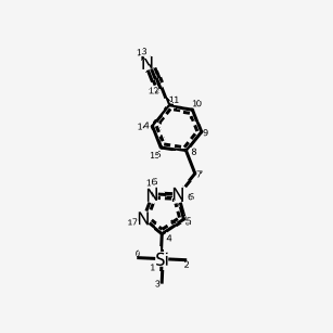 C[Si](C)(C)c1cn(Cc2ccc(C#N)cc2)nn1